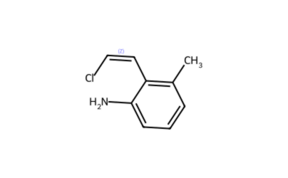 Cc1cccc(N)c1/C=C\Cl